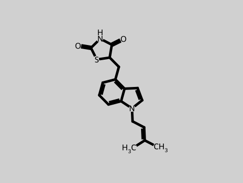 CC(C)=CCn1ccc2c(CC3SC(=O)NC3=O)cccc21